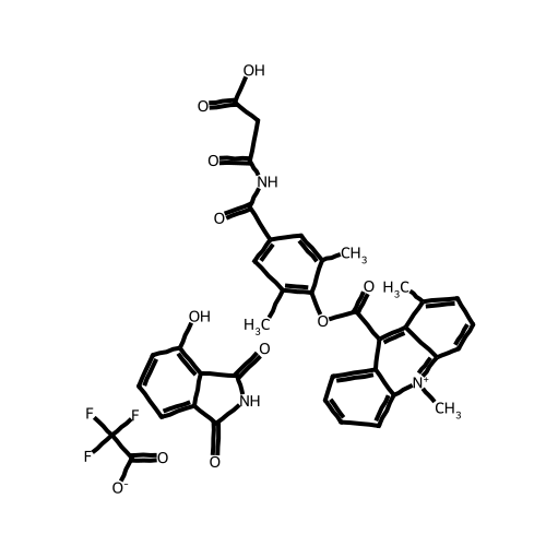 Cc1cc(C(=O)NC(=O)CC(=O)O)cc(C)c1OC(=O)c1c2ccccc2[n+](C)c2cccc(C)c12.O=C([O-])C(F)(F)F.O=C1NC(=O)c2c(O)cccc21